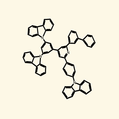 c1ccc(-c2cccc(-c3cc(-c4cc(-n5c6ccccc6c6ccccc65)cc(-n5c6ccccc6c6ccccc65)c4)cc(-c4ccc(-n5c6ccccc6c6ccccc65)cc4)n3)c2)cc1